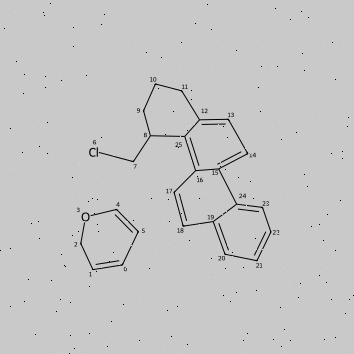 C1=CCOC=C1.ClCC1CCCc2ccc3c(ccc4ccccc43)c21